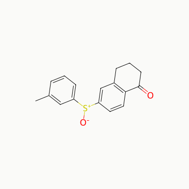 Cc1cccc([S+]([O-])c2ccc3c(c2)CCCC3=O)c1